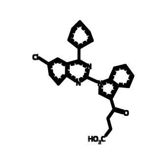 O=C(O)CCC(=O)c1cn(-c2nc(-c3ccccc3)c3cc(Cl)ccc3n2)c2ccccc12